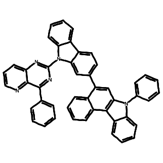 c1ccc(-c2nc(-n3c4ccccc4c4ccc(-c5cc6c(c7ccccc57)c5ccccc5n6-c5ccccc5)cc43)nc3cccnc23)cc1